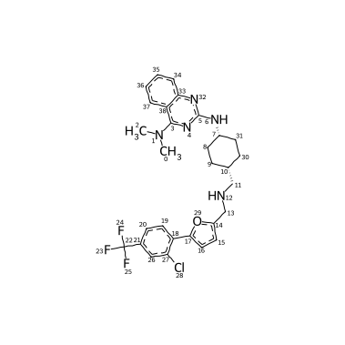 CN(C)c1nc(N[C@H]2CC[C@@H](CNCc3ccc(-c4ccc(C(F)(F)F)cc4Cl)o3)CC2)nc2ccccc12